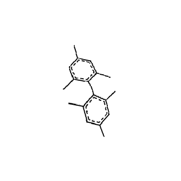 Cc1cc(C)c(-c2c(C)cc(C)cc2C)c(C)c1